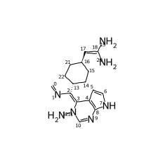 C=N/C(=C1/c2cc[nH]c2N=CN1N)[C@H]1CC[C@H](C=C(N)N)CC1